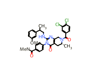 CNC(=O)c1ccc(-n2c(NCC(C)c3cccc(OC)c3)nc3c(c2=O)C[C@@H](C)N(C(=O)c2ccc(Cl)c(Cl)c2)C3)cc1